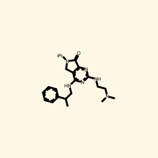 CC(CNc1nc(NCCN(C)C)nc2c1CN(C(C)C)C2=O)c1ccccc1